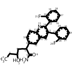 CCC(O)CC(C(N)=O)c1ccc2nc(-c3ccccc3F)c(-c3ccccc3F)cc2c1